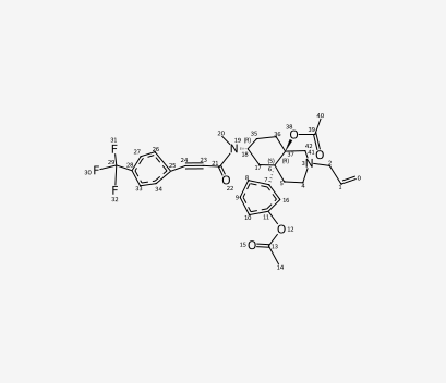 C=CCN1CC[C@@]2(c3cccc(OC(C)=O)c3)C[C@H](N(C)C(=O)C#Cc3ccc(C(F)(F)F)cc3)CC[C@]2(OC(C)=O)C1